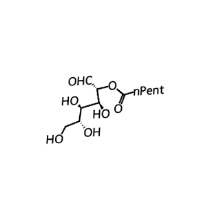 CCCCCC(=O)O[C@@H](C=O)[C@@H](O)[C@H](O)[C@H](O)CO